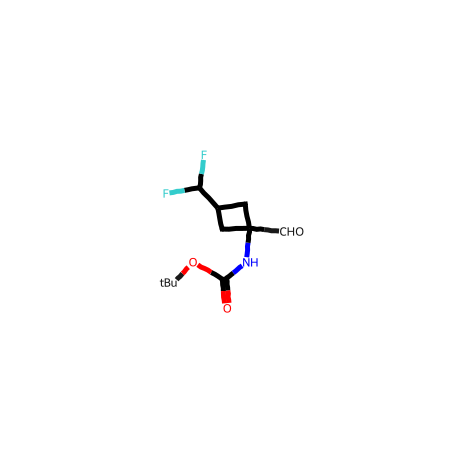 CC(C)(C)OC(=O)NC1(C=O)CC(C(F)F)C1